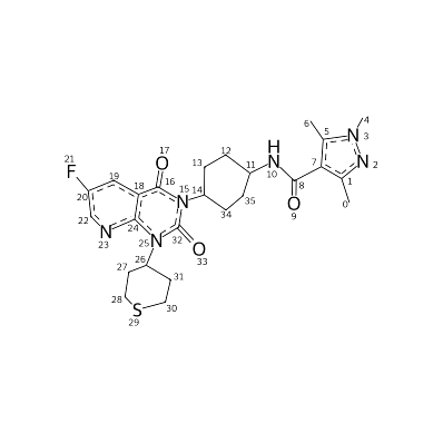 Cc1nn(C)c(C)c1C(=O)NC1CCC(n2c(=O)c3cc(F)cnc3n(C3CCSCC3)c2=O)CC1